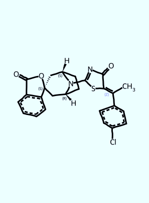 C/C(=C1/SC(N2[C@@H]3CC[C@H]2C[C@@]2(C3)OC(=O)c3ccccc32)=NC1=O)c1ccc(Cl)cc1